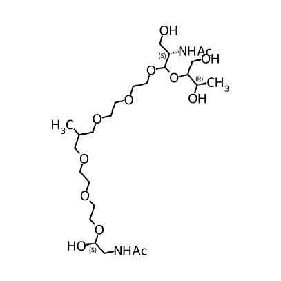 CC(=O)NC[C@@H](O)OCCOCCOCC(C)COCCOCCOC(OC(CO)[C@@H](C)O)[C@H](CO)NC(C)=O